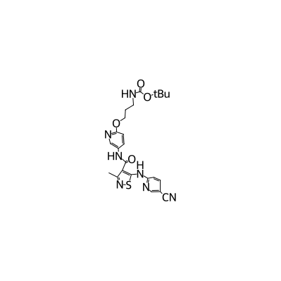 Cc1nsc(Nc2ccc(C#N)cn2)c1C(=O)Nc1ccc(OCCCNC(=O)OC(C)(C)C)nc1